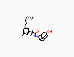 Cc1cc(CCCC(=O)O)cc(C(C)(C)C(=O)NC2C3CC4CC2CC(O)(C4)C3)c1